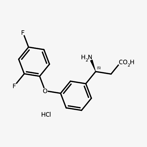 Cl.N[C@@H](CC(=O)O)c1cccc(Oc2ccc(F)cc2F)c1